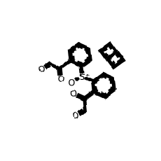 O=CC(=O)c1ccccc1[S+]([O-])c1ccccc1C(=O)C=O.c1cc2ccc1-2